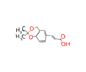 CC1(C)OCc2cc(/C=C/C(=O)O)ccc2O1